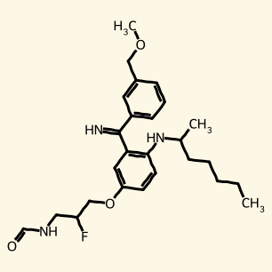 CCCCCC(C)Nc1ccc(OCC(F)CNC=O)cc1C(=N)c1cccc(COC)c1